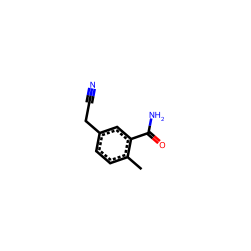 Cc1ccc(CC#N)cc1C(N)=O